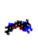 Cc1cc(NC(=O)Cc2ccc(-c3nn(C(C)C)c(N)c3C(N)=O)cc2)ccc1C1CC1